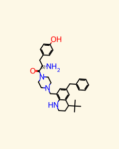 CC(C)(C)C1CCNc2c(CN3CCN(C(=O)[C@@H](N)Cc4ccc(O)cc4)CC3)cc(Cc3ccccc3)cc21